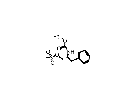 CC(C)(C)OC(=O)N[C@@H](COS(C)(=O)=O)Cc1ccccc1